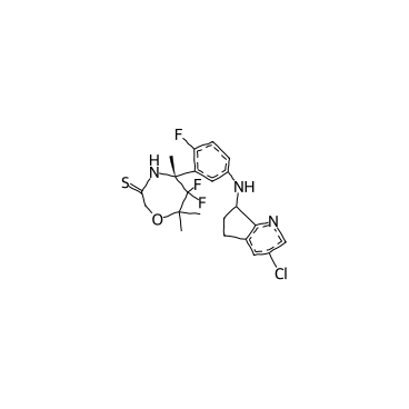 CC1(C)OCC(=S)N[C@](C)(c2cc(NC3CCc4cc(Cl)cnc43)ccc2F)C1(F)F